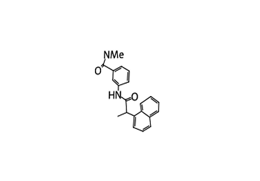 CNC(=O)c1cccc(NC(=O)C(C)c2cccc3ccccc23)c1